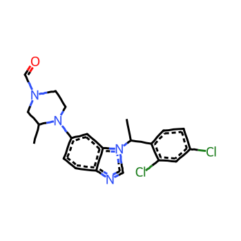 CC1CN(C=O)CCN1c1ccc2ncn(C(C)c3ccc(Cl)cc3Cl)c2c1